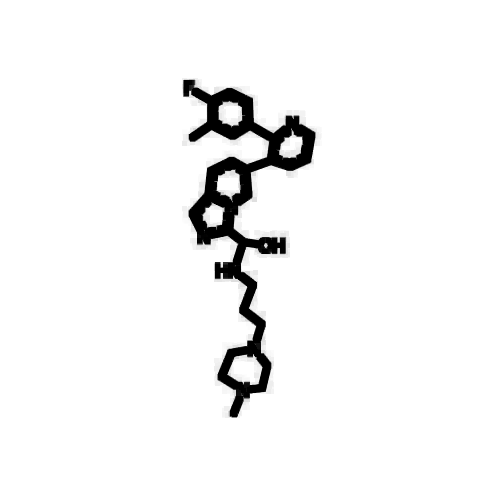 Cc1cc(-c2ncccc2-c2ccc3cnc(C(O)NCCCN4CCN(C)CC4)n3c2)ccc1F